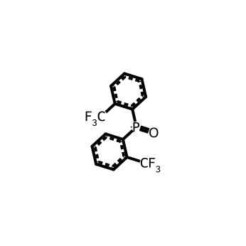 O=[P](c1ccccc1C(F)(F)F)c1ccccc1C(F)(F)F